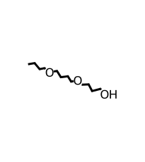 CCCCOCCCCOCCCCO